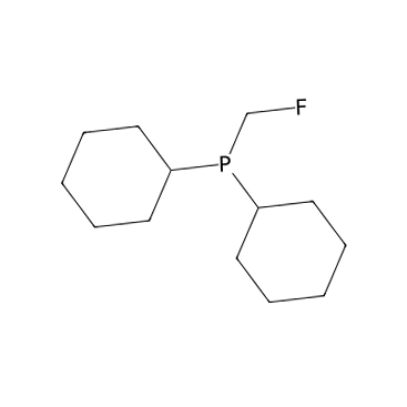 FCP(C1CCCCC1)C1CCCCC1